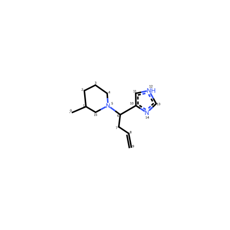 [CH2]C1CCCN(C(CC=C)c2c[nH]cn2)C1